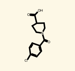 O=C(O)C1CCN(C(=O)c2ccc(Cl)cc2)CC1